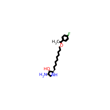 CC(OCCCCCCCCCC[C@H]1NC[C@H](N)[C@@H]1O)c1ccc(F)cc1